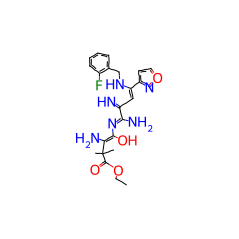 CCOC(=O)C(C)(C)/C(N)=C(O)/N=C(\N)C(=N)/C=C(\NCc1ccccc1F)c1ccon1